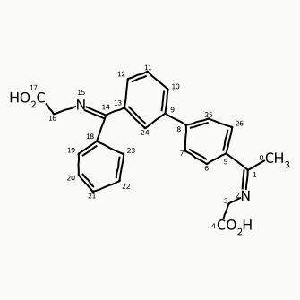 C/C(=N/CC(=O)O)c1ccc(-c2cccc(/C(=N/CC(=O)O)c3ccccc3)c2)cc1